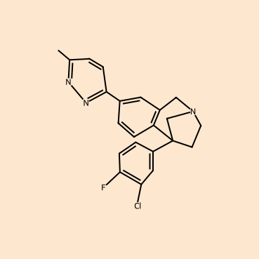 Cc1ccc(-c2ccc3c(c2)CN2CCC3(c3ccc(F)c(Cl)c3)C2)nn1